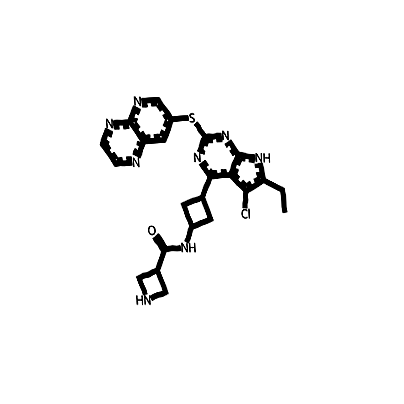 CCc1[nH]c2nc(Sc3cnc4nccnc4c3)nc(C3CC(NC(=O)C4CNC4)C3)c2c1Cl